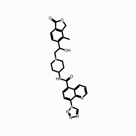 Cc1c(C(O)CN2CCC(NC(=O)c3ccc(-n4cnnn4)c4ncccc34)CC2)ccc2c1COC2=O